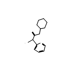 CCCC(C(=O)CC1CCCCC1)c1ccccn1